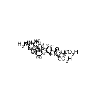 Nc1nc(=O)c2nc(CN(C3=CC=CC=CN3)c3ccc(C(=O)N[C@@H](CCC(=O)O)C(=O)O)cc3)cnc2[nH]1